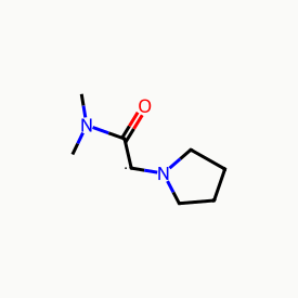 CN(C)C(=O)[CH]N1CCCC1